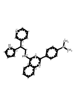 CN(C)c1ccc(-c2nc(NCC(c3cccnc3)c3ccc[nH]3)c3ccccc3n2)cc1